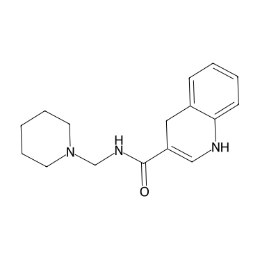 O=C(NCN1CCCCC1)C1=CNc2ccccc2C1